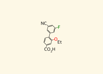 CCOc1cc(C(=O)O)ccc1-c1cc(F)cc(C#N)c1